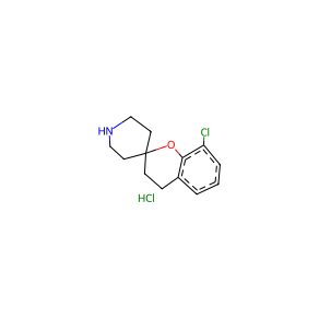 Cl.Clc1cccc2c1OC1(CCNCC1)CC2